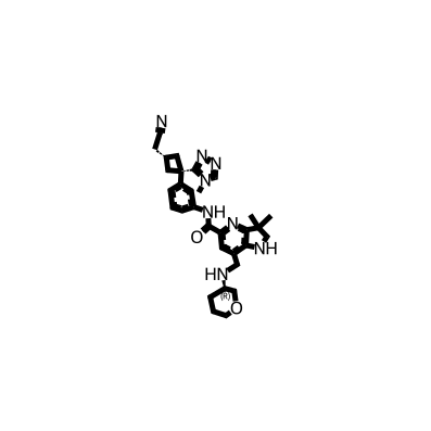 Cn1cnnc1[C@]1(c2cccc(NC(=O)c3cc(CN[C@@H]4CCCOC4)c4c(n3)C(C)(C)CN4)c2)C[C@H](CC#N)C1